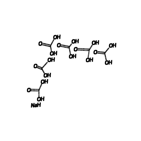 O=C(O)O.O=C(O)O.O=C(O)O.O=C(O)O.O=C(O)O.O=C(O)O.[NaH]